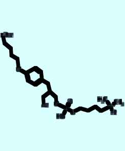 CCCCCCCCCCCCCCOc1ccc(CC(COP(=O)(O)OCCCC[N+](C)(C)CC)CC(C)=O)cc1